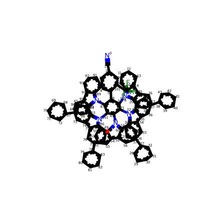 N#Cc1ccc(-c2c(-n3c4ccccc4c4ccccc43)c(-n3c4ccc(-c5ccccc5)cc4c4cc(-c5ccccc5)ccc43)c(-n3c4ccccc4c4ccccc43)c(-n3c4ccc(-c5ccccc5)cc4c4cc(-c5ccccc5)ccc43)c2-n2c3ccccc3c3ccccc32)c(C(F)(F)F)c1